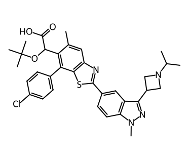 Cc1cc2nc(-c3ccc4c(c3)c(C3CN(C(C)C)C3)nn4C)sc2c(-c2ccc(Cl)cc2)c1C(OC(C)(C)C)C(=O)O